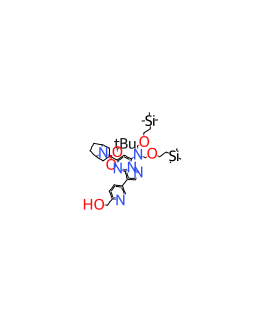 CC(C)(C)OC(=O)N1C2CCC1CC(c1cc(N(COCC[Si](C)(C)C)COCC[Si](C)(C)C)n3ncc(-c4ccc(CO)nc4)c3n1)C2